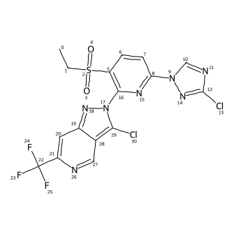 CCS(=O)(=O)c1ccc(-n2cnc(Cl)n2)nc1-n1nc2cc(C(F)(F)F)ncc2c1Cl